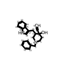 C#CC1(O)CCN(Cc2ccccc2)CC1Cc1c[nH]c2ccccc12